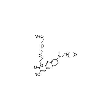 COCCOCCOCCOC(=O)C(C#N)=Cc1ccc2cc(NCCN3CCOCC3)ccc2c1